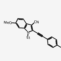 CCn1c(C#Cc2ccc(F)cc2)c(C#N)c2ccc(OC)cc21